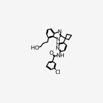 O=C(Nc1ccc(C2(c3nc4cccc(CCCO)c4[nH]3)CCC2)cn1)c1cccc(Cl)c1